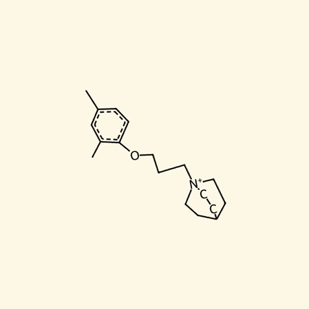 Cc1ccc(OCCC[N+]23CCC(CC2)CC3)c(C)c1